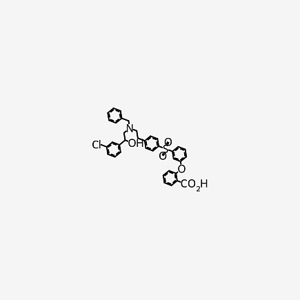 O=C(O)c1ccccc1Oc1cccc(S(=O)(=O)c2ccc(CCN(Cc3ccccc3)CC(O)c3cccc(Cl)c3)cc2)c1